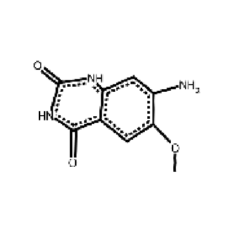 COc1cc2c(=O)[nH]c(=O)[nH]c2cc1N